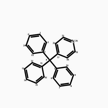 c1ccc(C(c2ccccc2)(c2ccccc2)c2ccncc2)cc1